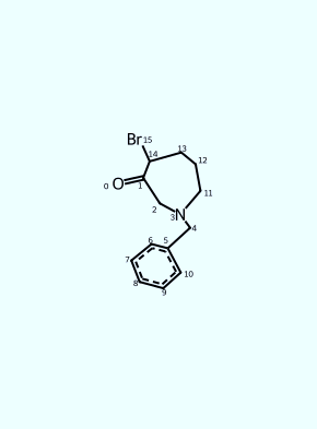 O=C1CN(Cc2ccccc2)CCCC1Br